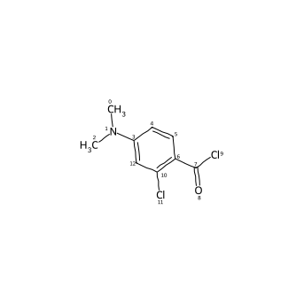 CN(C)c1ccc(C(=O)Cl)c(Cl)c1